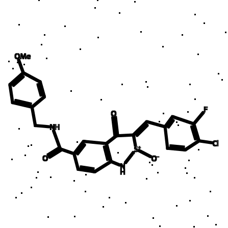 COc1ccc(CNC(=O)c2ccc3c(c2)C(=O)/C(=C/c2ccc(Cl)c(F)c2)[S+]([O-])N3)cc1